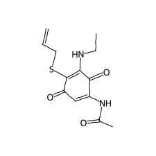 C=CCSC1=C(NCC)C(=O)C(NC(C)=O)=CC1=O